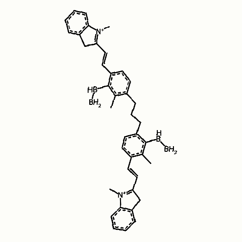 BBc1c(/C=C/C2=[N+](C)c3ccccc3C2)ccc(CCCc2ccc(/C=C/C3=[N+](C)c4ccccc4C3)c(C)c2BB)c1C